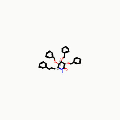 O=C1N[C@H](CCCc2ccccc2)[C@@H](OCc2ccccc2)[C@H](OCc2ccccc2)[C@@H]1OCc1ccccc1